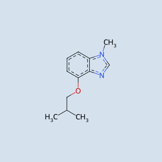 CC(C)COc1cccc2c1ncn2C